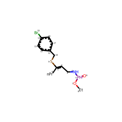 CCCC(=CCN[PH](=O)OCC)SCc1ccc(Br)cc1